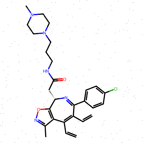 C=CC1=C(C=C)c2c(C)noc2[C@H](CC(=O)NCCCN2CCN(C)CC2)N=C1c1ccc(Cl)cc1